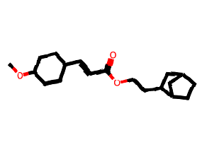 COC1CCC(/C=C/C(=O)OCCC2CC3CCC2C3)CC1